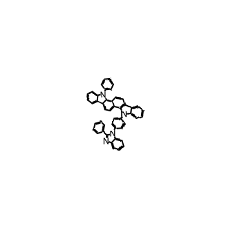 c1ccc(-c2nc3ccccc3n2-c2ccc(-n3c4ccccc4c4ccc5c(ccc6c7ccccc7n(-c7ccccc7)c65)c43)cc2)cc1